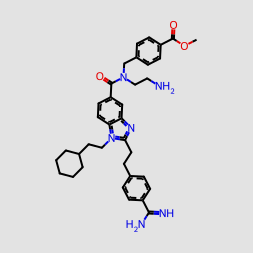 COC(=O)c1ccc(CN(CCN)C(=O)c2ccc3c(c2)nc(CCc2ccc(C(=N)N)cc2)n3CCC2CCCCC2)cc1